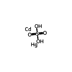 O=S(=O)(O)O.[Cd].[Hg]